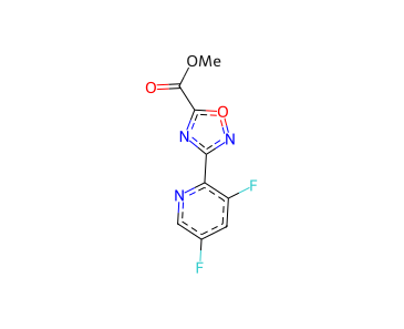 COC(=O)c1nc(-c2ncc(F)cc2F)no1